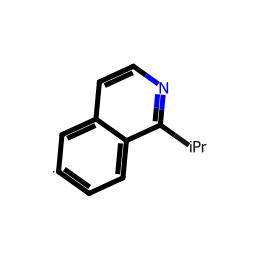 CC(C)c1nccc2c[c]ccc12